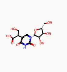 O=C(O)C(CO)c1cn([C@@H]2O[C@H](CO)[C@@H](O)[C@H]2O)c(=O)[nH]c1=O